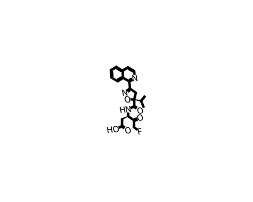 CC(C)[C@]1(C(=O)N[C@H](CC(=O)O)C(=O)CF)CC(c2nccc3ccccc23)=NO1